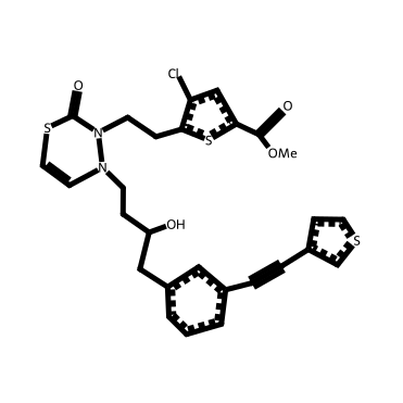 COC(=O)c1cc(Cl)c(CCN2C(=O)SC=CN2CCC(O)Cc2cccc(C#Cc3ccsc3)c2)s1